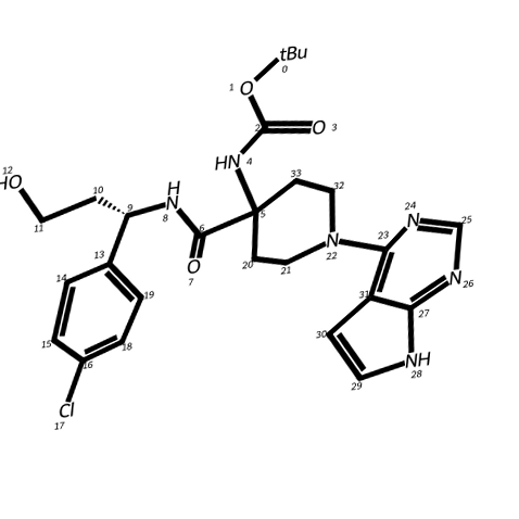 CC(C)(C)OC(=O)NC1(C(=O)N[C@@H](CCO)c2ccc(Cl)cc2)CCN(c2ncnc3[nH]ccc23)CC1